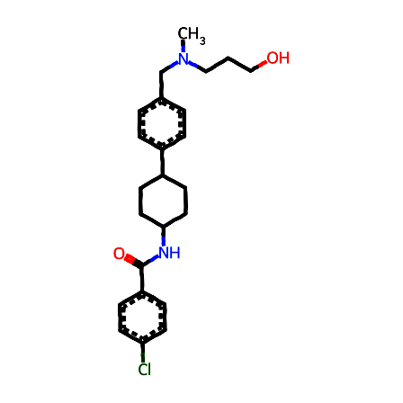 CN(CCCO)Cc1ccc(C2CCC(NC(=O)c3ccc(Cl)cc3)CC2)cc1